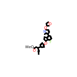 CC#CC(CC(=O)OC)c1ccc(O[C@@H]2CCc3c(-c4ccc(OC5CCOC5)nc4C)ccc(F)c32)cc1